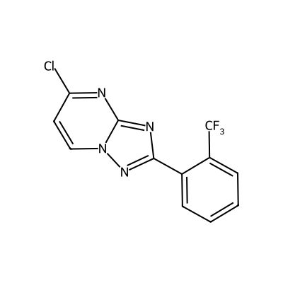 FC(F)(F)c1ccccc1-c1nc2nc(Cl)ccn2n1